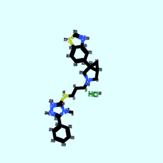 Cl.Cn1c(SCCCN2CC3CC3(c3ccc4scnc4c3)C2)nnc1-c1ccccc1